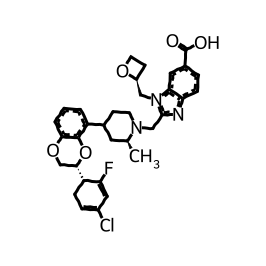 C[C@H]1CC(c2cccc3c2O[C@H](C2CC=C(Cl)C=C2F)CO3)CCN1Cc1nc2ccc(C(=O)O)cc2n1C[C@@H]1CCO1